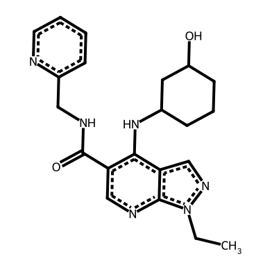 CCn1ncc2c(NC3CCCC(O)C3)c(C(=O)NCc3ccccn3)cnc21